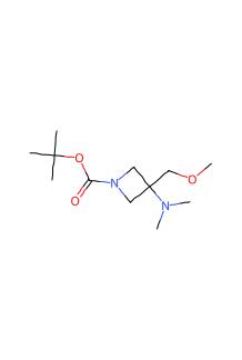 COCC1(N(C)C)CN(C(=O)OC(C)(C)C)C1